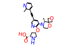 Cc1ncccc1C#Cc1cnc(O[C@@H]2CN[C@H](C(=O)O)C2)c(N2CCOC3(COC3)[C@@H]2C)c1